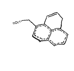 CCCCCCCCCc1ccc2cccc3c2c1C=CC3